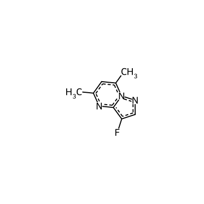 Cc1cc(C)n2ncc(F)c2n1